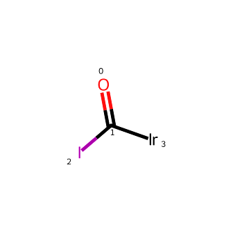 O=[C](I)[Ir]